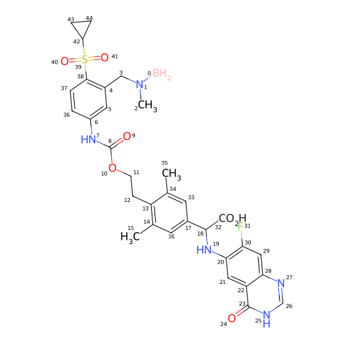 BN(C)Cc1cc(NC(=O)OCCc2c(C)cc(C(Nc3cc4c(=O)[nH]cnc4cc3F)C(=O)O)cc2C)ccc1S(=O)(=O)C1CC1